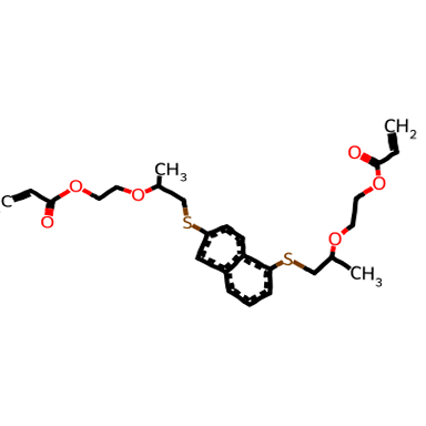 C=CC(=O)OCCOC(C)CSc1ccc2c(SCC(C)OCCOC(=O)C=C)cccc2c1